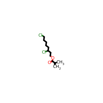 C=C(C)C(=O)OCCC(Cl)CCCCCCl